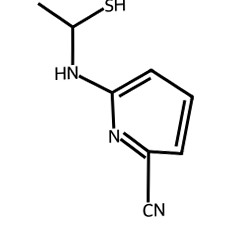 CC(S)Nc1cccc(C#N)n1